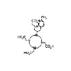 Cc1ccc(CC(CNCC(=O)O)N2CCN(CC(=O)O)CCN(CC(=O)O)CCN(CC(=O)O)CC2)cc1